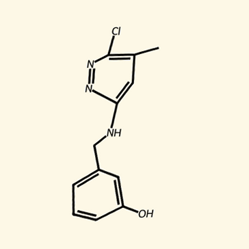 Cc1cc(NCc2cccc(O)c2)nnc1Cl